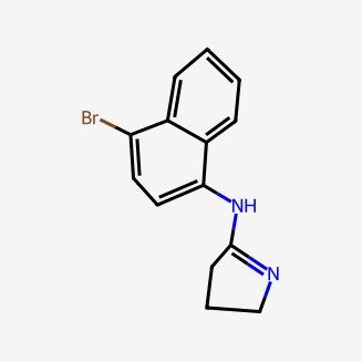 Brc1ccc(NC2=NCCC2)c2ccccc12